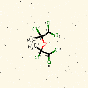 CC(Cl)(OC(C)(Cl)C(Cl)Cl)C(Cl)Cl